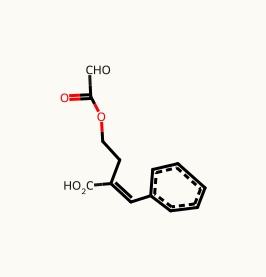 O=CC(=O)OCCC(=Cc1ccccc1)C(=O)O